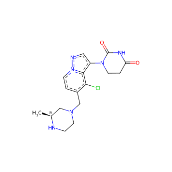 C[C@H]1CN(Cc2ccn3ncc(N4CCC(=O)NC4=O)c3c2Cl)CCN1